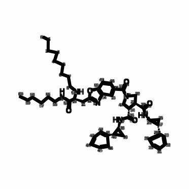 CCCCCCCCCN[C@@H](Cc1nc2cc(C(=O)N3C[C@@H](C(=O)N[C@H]4C[C@@H]4c4ccccc4)[C@H](C(=O)N[C@H]4C[C@@H]4c4ccccc4)C3)ccc2o1)C(=O)NCCCCCC